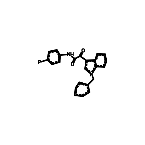 O=C(Nc1ccc(F)cc1)C(=O)c1cn(Cc2ccccc2)c2ccccc12